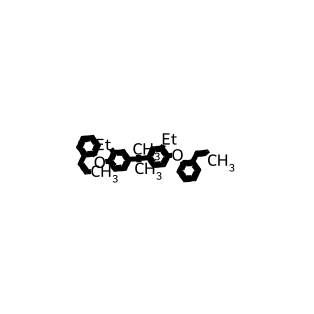 C/C=C\c1ccccc1Oc1ccc(C(C)(C)c2ccc(Oc3ccccc3/C=C\C)c(CC)c2)cc1CC